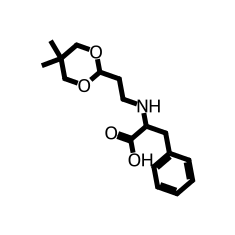 CC1(C)COC(CCNC(Cc2ccccc2)C(=O)O)OC1